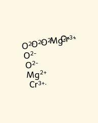 [Cr+3].[Cr+3].[Mg+2].[Mg+2].[O-2].[O-2].[O-2].[O-2].[O-2]